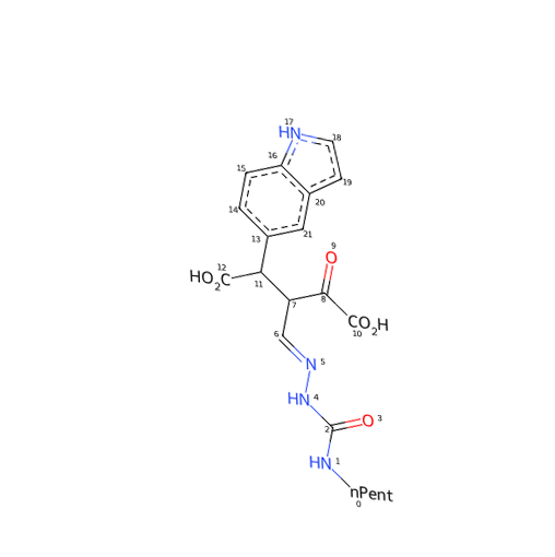 CCCCCNC(=O)NN=CC(C(=O)C(=O)O)C(C(=O)O)c1ccc2[nH]ccc2c1